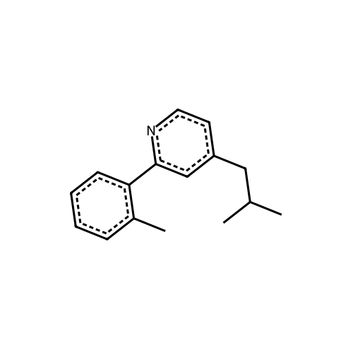 Cc1ccccc1-c1cc(CC(C)C)ccn1